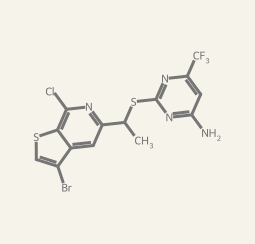 CC(Sc1nc(N)cc(C(F)(F)F)n1)c1cc2c(Br)csc2c(Cl)n1